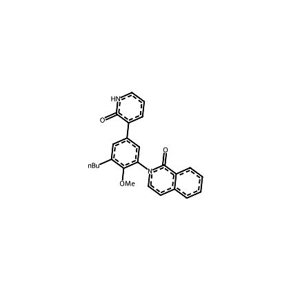 CCCCc1cc(-c2ccc[nH]c2=O)cc(-n2ccc3ccccc3c2=O)c1OC